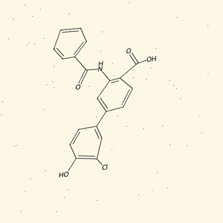 O=C(Nc1cc(-c2ccc(O)c(Cl)c2)ccc1C(=O)O)c1ccccc1